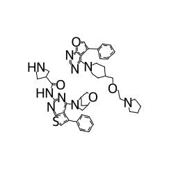 O=C(Nc1nc(N2CC3CC2CO3)c2c(-c3ccccc3)csc2n1)C1CCNC1.c1ccc(-c2coc3ncnc(N4CCC(COCCN5CCCC5)CC4)c23)cc1